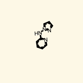 c1ccc(Nn2cccn2)nc1